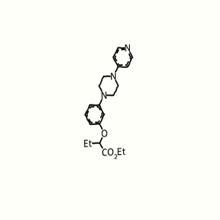 CCOC(=O)C(CC)Oc1cccc(N2CCN(c3ccncc3)CC2)c1